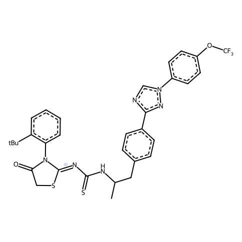 CC(Cc1ccc(-c2ncn(-c3ccc(OC(F)(F)F)cc3)n2)cc1)NC(=S)/N=C1\SCC(=O)N1c1ccccc1C(C)(C)C